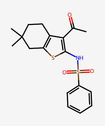 CC(=O)c1c(NS(=O)(=O)c2ccccc2)sc2c1CCC(C)(C)C2